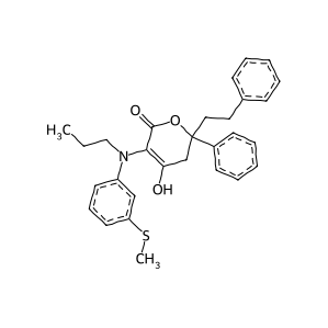 CCCN(C1=C(O)CC(CCc2ccccc2)(c2ccccc2)OC1=O)c1cccc(SC)c1